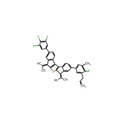 C=CCc1cc(-c2ccc3c(c2)C(=C(C#N)C#N)c2sc4c(c2-3)-c2ccc(-c3cc(F)c(F)c(F)c3)cc2C4=C(C#N)C#N)cc(C)c1F